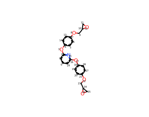 c1cc(Oc2ccc(OCC3CO3)cc2)nc(Oc2ccc(OCC3CO3)cc2)c1